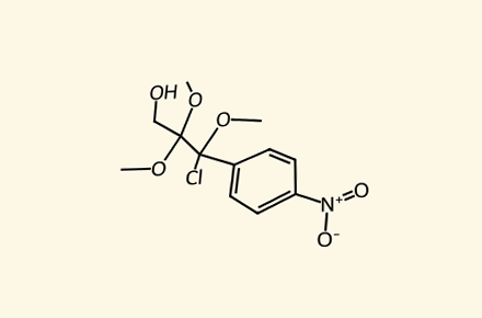 COC(CO)(OC)C(Cl)(OC)c1ccc([N+](=O)[O-])cc1